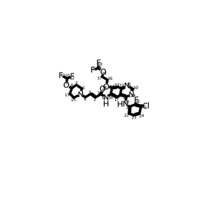 O=C(/C=C/CN1CCC(OC(F)F)CC1)Nc1cc2c(Nc3cccc(Cl)c3F)ncnc2cc1OCCOC(F)F